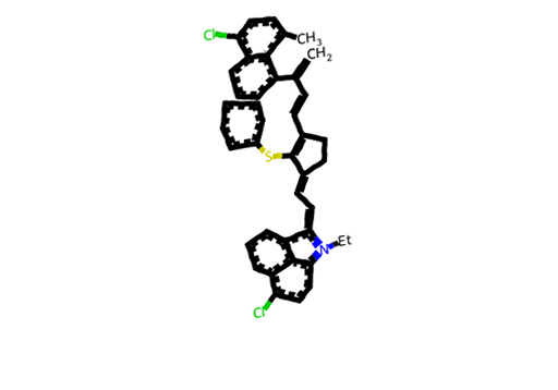 C=C(/C=C/C1=C(Sc2ccccc2)C(=C/C=c2\c3cccc4c(Cl)ccc(c43)n2CC)/CC1)c1cccc2c(Cl)ccc(C)c12